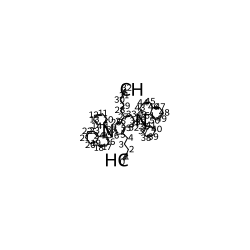 C#CCCCc1cc(N(c2ccccc2)c2cccc3ccccc23)cc2c(CCCC#C)cc(N(c3ccccc3)c3cccc4ccccc34)cc12